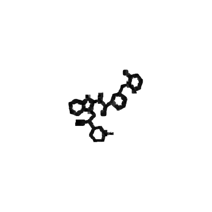 CN1CCCC(C(O)Cn2c(NC(=O)c3cccc(Cn4ncccc4=O)c3)nc3ccccc32)C1